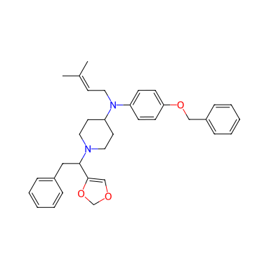 CC(C)=CCN(c1ccc(OCc2ccccc2)cc1)C1CCN(C(Cc2ccccc2)C2=COCO2)CC1